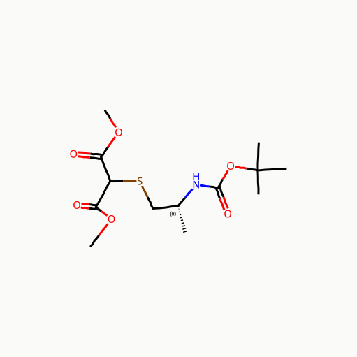 COC(=O)C(SC[C@@H](C)NC(=O)OC(C)(C)C)C(=O)OC